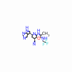 C[C@H](Nc1cc(C#N)cc(-c2c[nH]c3ncncc23)n1)C(=O)NCC(F)(F)F